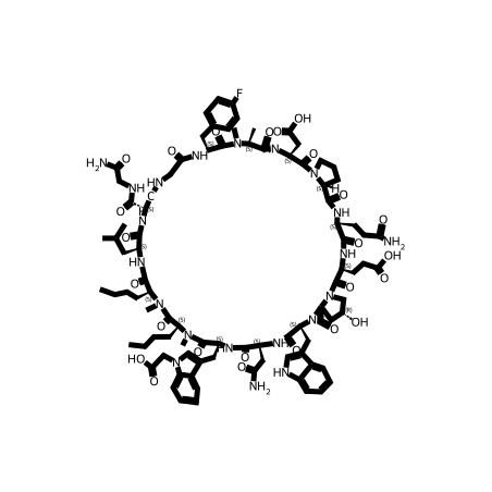 CCCC[C@H]1C(=O)N(C)[C@@H](CCCC)C(=O)N[C@@H](CC(C)C)C(=O)N[C@H](C(=O)NCC(N)=O)CNCC(=O)N[C@@H](Cc2ccc(F)cc2)C(=O)N(C)[C@@H](C)C(=O)N[C@@H](CC(=O)O)C(=O)N2CCC[C@H]2C(=O)N[C@@H](CCC(N)=O)C(=O)N[C@@H](CCC(=O)O)C(=O)N2C[C@H](O)CC2(C=O)N[C@@H](Cc2c[nH]c3ccccc23)C(=O)N[C@@H](CC(N)=O)C(=O)N[C@@H](Cc2cn(CC(=O)O)c3ccccc23)C(=O)N1C